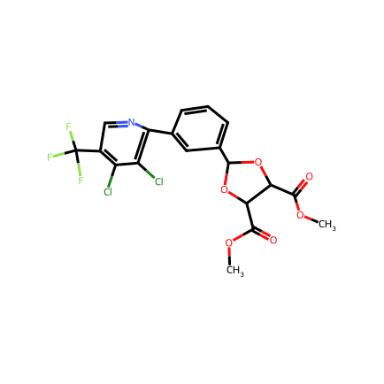 COC(=O)C1OC(c2cccc(-c3ncc(C(F)(F)F)c(Cl)c3Cl)c2)OC1C(=O)OC